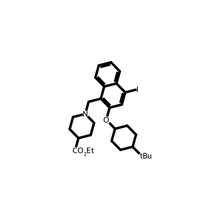 CCOC(=O)C1CCN(Cc2c(OC3CCC(C(C)(C)C)CC3)cc(I)c3ccccc23)CC1